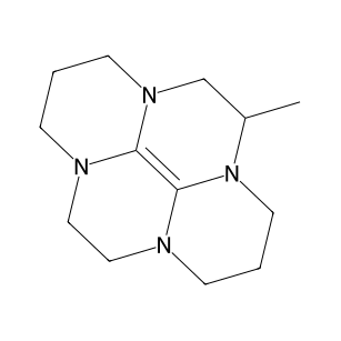 CC1CN2CCCN3CCN4CCCN1C4=C32